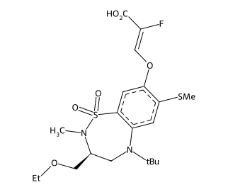 CCOC[C@@H]1CN(C(C)(C)C)c2cc(SC)c(O/C=C(\F)C(=O)O)cc2S(=O)(=O)N1C